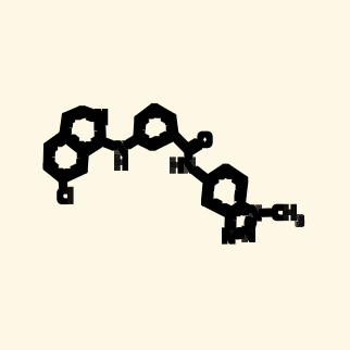 Cn1nnc2cc(NC(=O)c3cccc(Nc4nccc5ccc(Cl)cc45)c3)ccc21